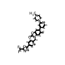 CN1CCN(c2cc(-c3cc4oc(=O)n(Cc5ccc(-c6nnc(C(F)F)o6)cn5)c4cc3F)ccn2)CC1